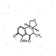 COc1c2n(ccc1=O)[C@@H]1COC[C@@H]1C(C)C2=O